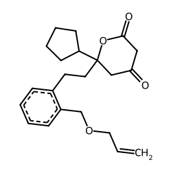 C=CCOCc1ccccc1CCC1(C2CCCC2)CC(=O)CC(=O)O1